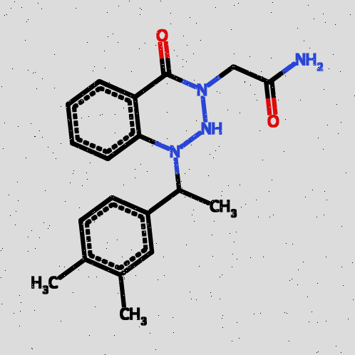 Cc1ccc(C(C)N2NN(CC(N)=O)C(=O)c3ccccc32)cc1C